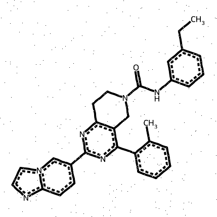 CCc1cccc(NC(=O)N2CCc3nc(-c4ccc5nccn5c4)nc(-c4ccccc4C)c3C2)c1